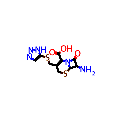 NC1C(=O)N2C(C(=O)O)=C(CSc3cnn[nH]3)CSC12